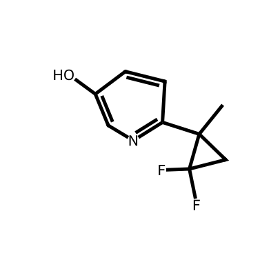 CC1(c2ccc(O)cn2)CC1(F)F